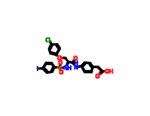 O=C(O)Cc1ccc(NC(=O)[C@H](COc2ccc(Cl)cc2)NS(=O)(=O)c2ccc(I)cc2)cc1